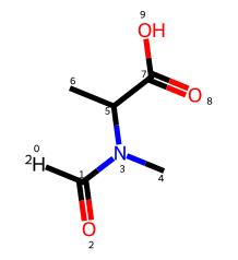 [2H]C(=O)N(C)C(C)C(=O)O